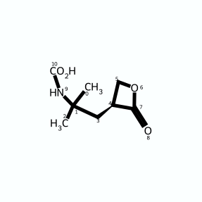 CC(C)(C[C@H]1COC1=O)NC(=O)O